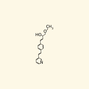 CCOCC(O)C=Cc1ccc(C=Cc2cccnc2)cc1